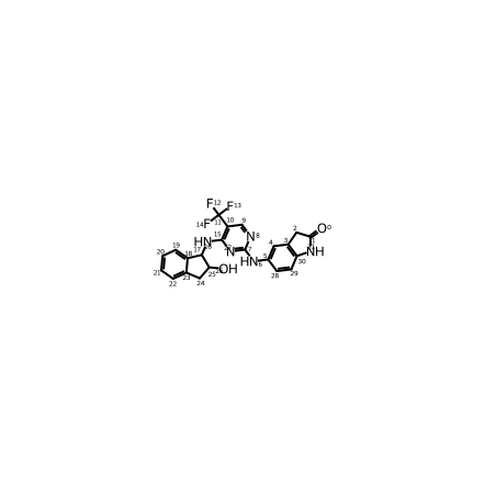 O=C1Cc2cc(Nc3ncc(C(F)(F)F)c(NC4c5ccccc5CC4O)n3)ccc2N1